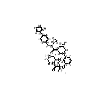 CC(C)(Oc1cccc(N2CCCC(C(=O)N(Cc3ccc(-c4ccn[nH]4)cc3)C3CC3)C2)c1)C(=O)N1CCNCC1.Cl